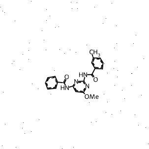 COc1cc(NC(=O)c2ccccc2)nc(NC(=O)c2cccc(C)c2)n1